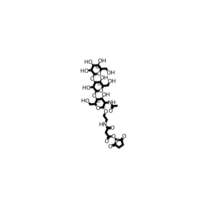 CC(=O)NC1[C@H](OCCNC(=O)CC(=O)ON2C(=O)CCC2=O)OC(CO)[C@@H](O[C@@H]2OC(CO)[C@H](O)[C@H](O[C@@H]3OC(CO)[C@H](O)[C@H](O)C3O)C2O)[C@@H]1O